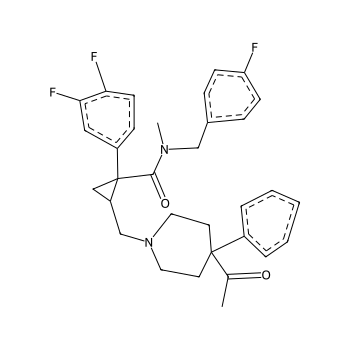 CC(=O)C1(c2ccccc2)CCN(CC2CC2(C(=O)N(C)Cc2ccc(F)cc2)c2ccc(F)c(F)c2)CC1